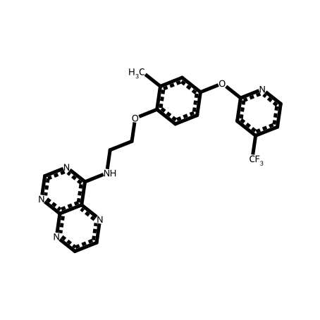 Cc1cc(Oc2cc(C(F)(F)F)ccn2)ccc1OCCNc1ncnc2nccnc12